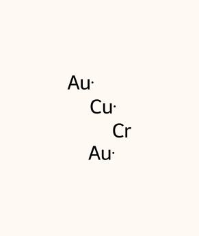 [Au].[Au].[Cr].[Cu]